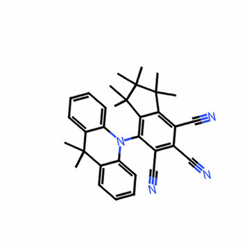 CC1(C)c2ccccc2N(c2c(C#N)c(C#N)c(C#N)c3c2C(C)(C)C(C)(C)C3(C)C)c2ccccc21